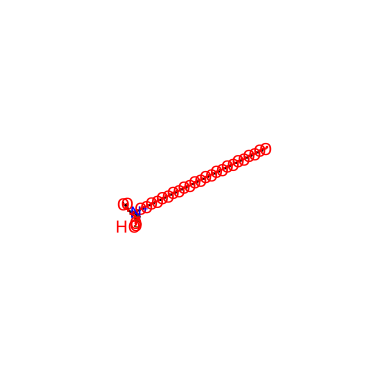 COCCOCCOCCOCCOCCOCCOCCOCCOCCOCCOCCOCCOCCOCCOCCOCCOCCOCCOCCOCCOCCOCCOCCOCC[N+]1=C(C)C(C)(CCCCCC(=O)OC)c2cc(SOOO)ccc21